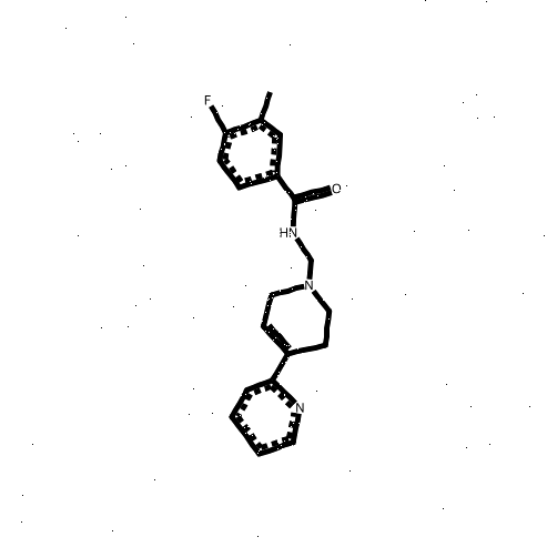 Cc1cc(C(=O)NCN2CC=C(c3ccccn3)CC2)ccc1F